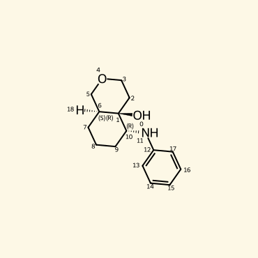 O[C@]12CCOC[C@@H]1CCC[C@H]2Nc1ccccc1